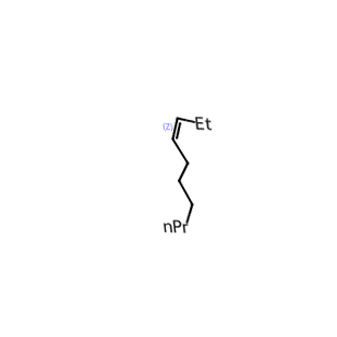 [CH2]CCCCC/C=C\CC